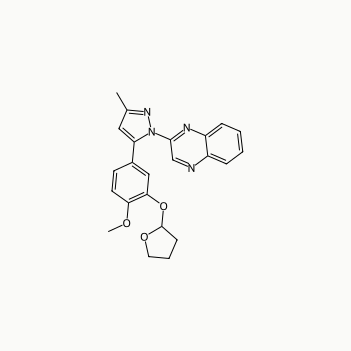 COc1ccc(-c2cc(C)nn2-c2cnc3ccccc3n2)cc1OC1CCCO1